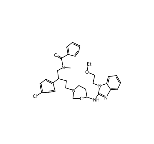 CCOCCn1c(NC2CCN(CCC(CN(C)C(=O)c3ccccc3)c3ccc(Cl)cc3)CC2)nc2ccccc21